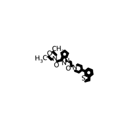 C[C@@H]1CN(C(=O)c2nn(CC(=O)N3CCC(c4cccc5ccsc45)CC3)c3c2CCC3)C[C@H](C)O1